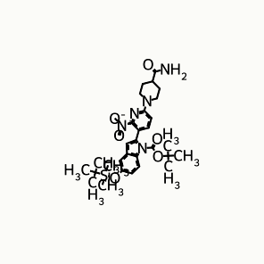 CC(C)(C)OC(=O)n1c(-c2ccc(N3CCC(C(N)=O)CC3)nc2[N+](=O)[O-])cc2cc(O[Si](C)(C)C(C)(C)C)ccc21